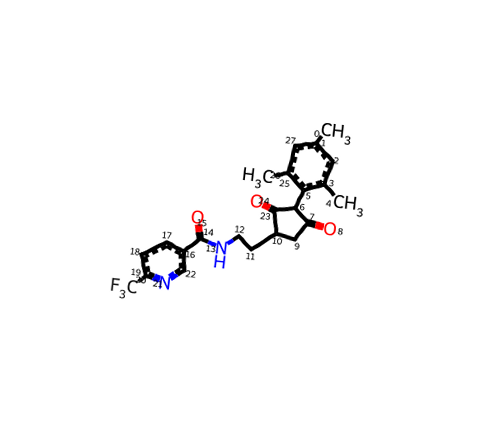 Cc1cc(C)c(C2C(=O)CC(CCNC(=O)c3ccc(C(F)(F)F)nc3)C2=O)c(C)c1